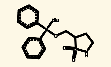 CC(C)(C)[Si](OCC1CCNS1(=O)=O)(c1ccccc1)c1ccccc1